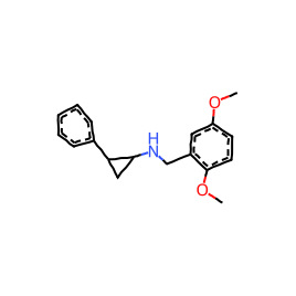 COc1ccc(OC)c(CNC2CC2c2ccccc2)c1